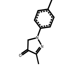 CC1=NN(c2ccc(C)cc2)CC1=O